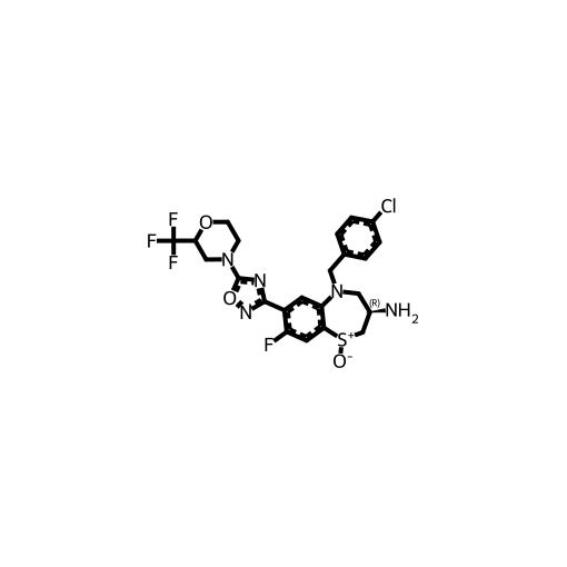 N[C@@H]1CN(Cc2ccc(Cl)cc2)c2cc(-c3noc(N4CCOC(C(F)(F)F)C4)n3)c(F)cc2[S+]([O-])C1